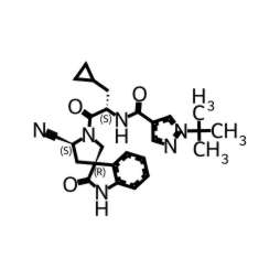 CC(C)(C)n1cc(C(=O)N[C@@H](CC2CC2)C(=O)N2C[C@]3(C[C@H]2C#N)C(=O)Nc2ccccc23)cn1